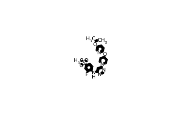 CC(C)Oc1ccc(OC2CCN(c3cc(Nc4ccc(S(C)(=O)=O)cc4F)ncn3)CC2)nc1